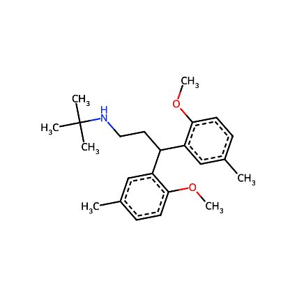 COc1ccc(C)cc1C(CCNC(C)(C)C)c1cc(C)ccc1OC